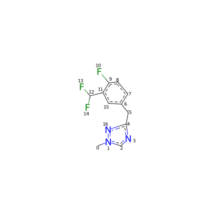 Cn1cnc([CH]c2ccc(F)c(C(F)F)c2)n1